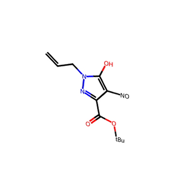 C=CCn1nc(C(=O)OC(C)(C)C)c(N=O)c1O